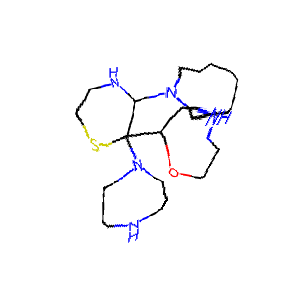 C1CCN(C2NCCSC2(C2CNCCO2)N2CCNCC2)CC1